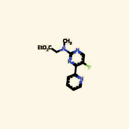 CCOC(=O)CN(C)c1ncc(F)c(-c2ccccn2)n1